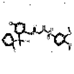 COc1ccc(S(=O)(=O)NCC(=O)Nc2ccc(Cl)cc2C(C)(O)c2ccccc2Cl)cc1OC